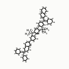 CC1(C)c2cc(-c3ccc4cc(N(c5ccccc5)c5ccccc5)ccc4n3)ccc2-c2nc3c(cc21)-c1ccc(N(c2ccccc2)c2ccc4ccccc4c2)cc1C3(C)C